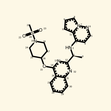 C[C@H](Nc1ccnn2cccc12)c1nc(OC2CCN(S(C)(=O)=O)CC2)c2ccccc2n1